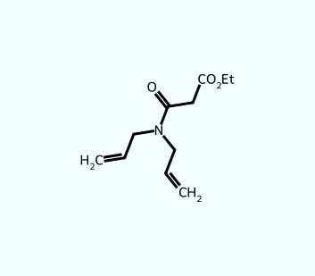 C=CCN(CC=C)C(=O)CC(=O)OCC